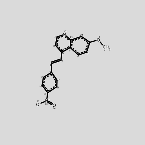 COc1ccc2c(C=Cc3ccc([N+](=O)[O-])cc3)ccnc2c1